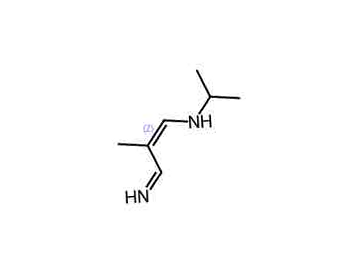 C/C(C=N)=C/NC(C)C